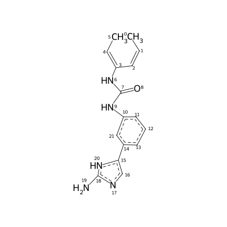 C/C=C\C(=C/C)NC(=O)Nc1cccc(-c2cnc(N)[nH]2)c1